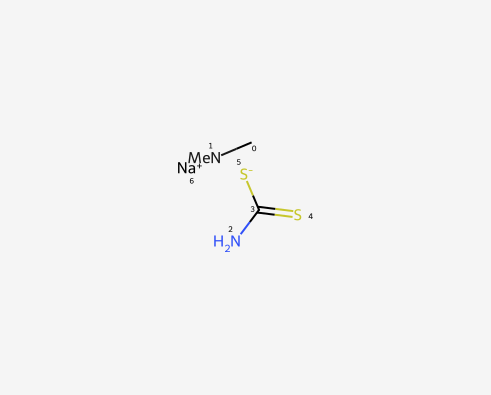 CNC.NC(=S)[S-].[Na+]